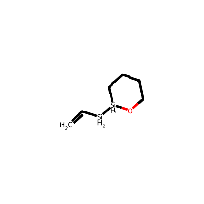 C=C[SiH2][SiH]1CCCCO1